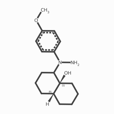 COc1ccc(N(N)C2CCC[C@H]3CCCC[C@@]23O)cc1